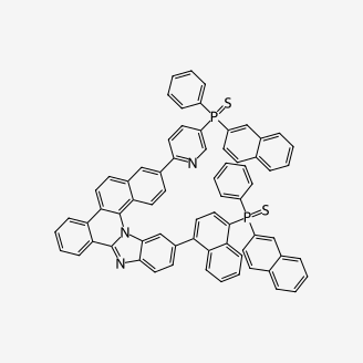 S=P(c1ccccc1)(c1ccc(-c2ccc3c(ccc4c5ccccc5c5nc6ccc(-c7ccc(P(=S)(c8ccccc8)c8ccc9ccccc9c8)c8ccccc78)cc6n5c34)c2)nc1)c1ccc2ccccc2c1